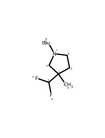 CC1(C(F)F)CCN(C(C)(C)C)C1